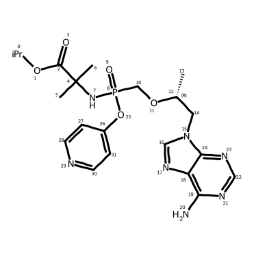 CC(C)OC(=O)C(C)(C)NP(=O)(CO[C@H](C)Cn1cnc2c(N)ncnc21)Oc1ccncc1